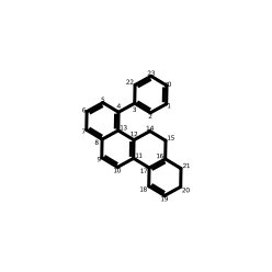 [c]1ccc(-c2cccc3ccc4c(c23)CCC2=C4C=CCC2)cc1